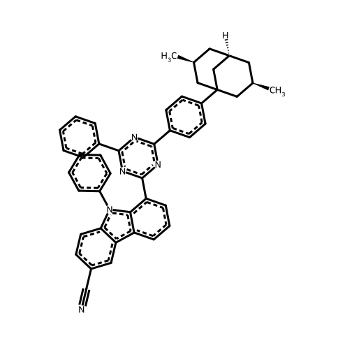 C[C@@H]1C[C@@H]2C[C@H](C)CC(c3ccc(-c4nc(-c5ccccc5)nc(-c5cccc6c7cc(C#N)ccc7n(-c7ccccc7)c56)n4)cc3)(C1)C2